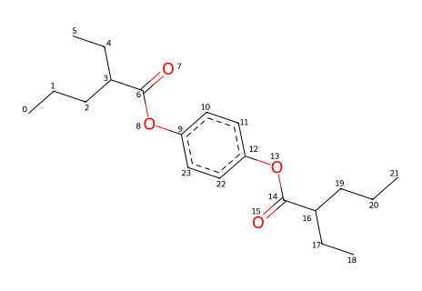 CCCC(CC)C(=O)Oc1ccc(OC(=O)C(CC)CCC)cc1